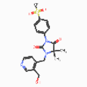 CC1(C)C(=O)N(c2ccc(S(=O)(=O)C(F)(F)F)cc2)C(=O)N1Cc1ccncc1CO